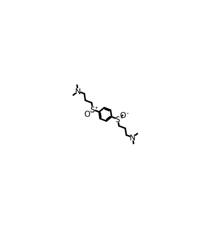 CN(C)CCC[S+]([O-])c1ccc([S+]([O-])CCCN(C)C)cc1